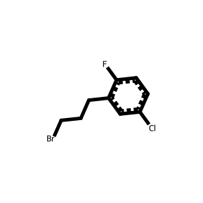 Fc1ccc(Cl)cc1CCCBr